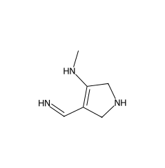 CNC1=C(C=N)CNC1